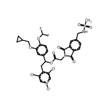 CS(=O)(=O)NCc1ccc2c(c1)C(=O)N(CC(=O)OC(Cc1c(Cl)c[n+]([O-])cc1Cl)c1ccc(OC(F)F)c(OCC3CC3)c1)C2=O